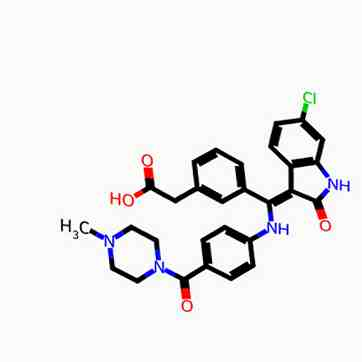 CN1CCN(C(=O)c2ccc(N/C(=C3\C(=O)Nc4cc(Cl)ccc43)c3cccc(CC(=O)O)c3)cc2)CC1